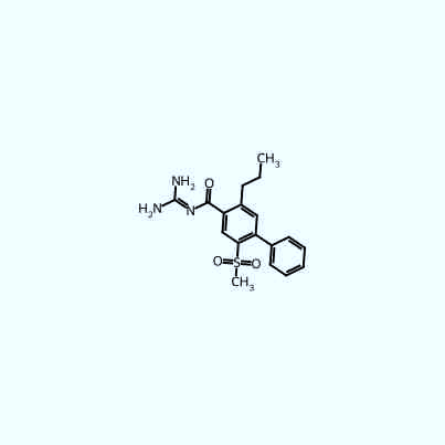 CCCc1cc(-c2ccccc2)c(S(C)(=O)=O)cc1C(=O)N=C(N)N